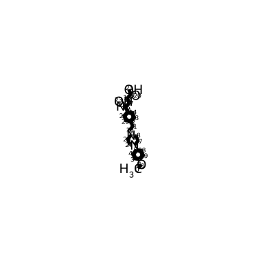 COc1ccc(N2CCN(CCc3ccc(C(CCC(=O)O)=NO)cc3)CC2)cc1